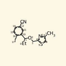 CCC(OCc1nc(C)cs1)c1cc(C#N)ccc1I